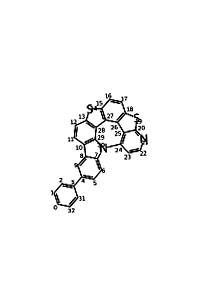 c1ccc(-c2ccc3c(c2)c2ccc4sc5ccc6sc7nccc8c7c6c5c4c2n38)cc1